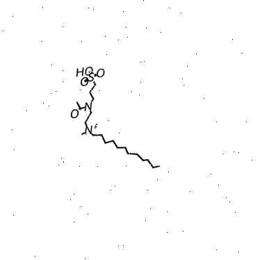 CCCCCCCCCCCC[N+](C)(C)CCN(CCCS(=O)(=O)O)C(C)=O